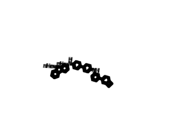 CCCCCCC1(CCCCCC)c2ccccc2-c2ccc(NC3=CC=C(C4=CC=C(Nc5cccc(C6=CCC7CCC7=C6)c5)CC4)CC3)cc21